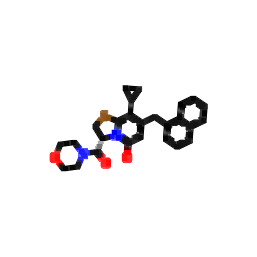 O=C([C@@H]1CSc2c(C3CC3)c(Cc3cccc4ccccc34)cc(=O)n21)N1CCOCC1